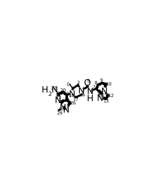 C[C@H]1CN(C(=O)Nc2cccn3ccnc23)CCN1c1cc(N)nc2c1cnn2C